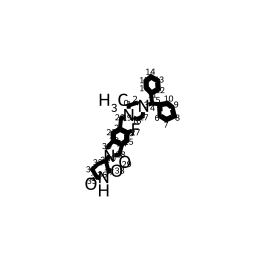 C[C@@H]1CN(C(c2ccccc2)c2ccccc2)CCN1Cc1cc2c(cc1F)C(=O)N(C1CCC(=O)NC1=O)C2